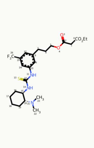 CCOC(=O)CC(=O)OCCCc1cc(NC(=S)N[C@@H]2CCCC[C@H]2N(C)C)cc(C(F)(F)F)c1